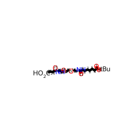 CC(C)(C)OC(=O)CCCCCCC(=O)NCCOCCOCCNC(=O)CCC(=O)O